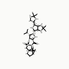 CC(C)[C@H]1C[C@H](C(=O)N2C3CC4CC[C@]3(CS2(=O)=O)C4(C)C)ON1[C@@H]1O[C@@H]([C@H]2COC(C)(C)O2)C2OC(C)(C)OC21